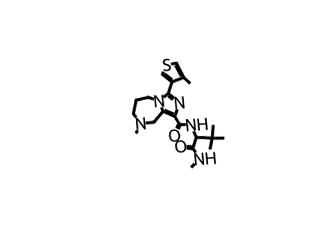 CNC(=O)C(NC(=O)c1nc(-c2cscc2C)n2c1CN(C)CCC2)C(C)(C)C